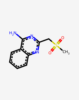 CS(=O)(=O)Cc1nc(N)c2ccccc2n1